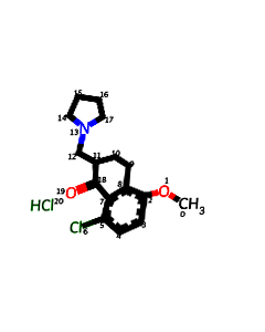 COc1ccc(Cl)c2c1CCC(CN1CCCC1)C2=O.Cl